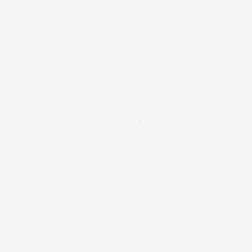 COC(C)(F)C(C)(F)OC=O